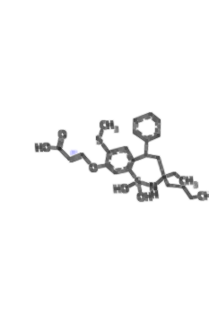 CCCCC1(CC)CC(c2ccccc2)c2cc(SC)c(O/C=C/C(=O)O)cc2S(O)(O)N1